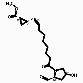 COC(=O)[C@H]1C[C@H]1/C=C\CCCCCCC(=O)N1C[C@@H](O)C[C@H]1C=O